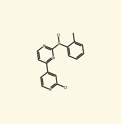 Cc1ccccc1N(Cl)c1nccc(-c2ccnc(Cl)c2)n1